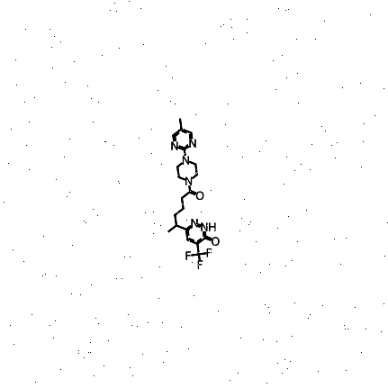 Cc1cnc(N2CCN(C(=O)CCCC(C)c3cc(C(F)(F)F)c(=O)[nH]n3)CC2)nc1